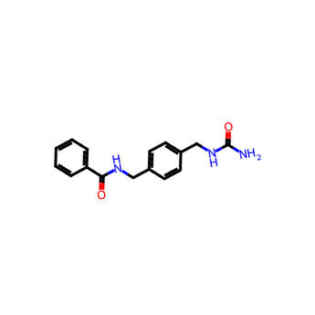 NC(=O)NCc1ccc(CNC(=O)c2ccccc2)cc1